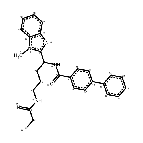 Cn1c(C(CCCNC(=N)CF)NC(=O)c2ccc(-c3ccccc3)cc2)nc2ccccc21